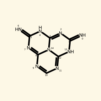 N=C1N=C2NC(=N)N=C3N=CN=C(N1)N32